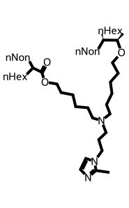 CCCCCCCCCC(CCCCCC)C(=O)OCCCCCCN(CCCCCCO[C@H](C)[C@@H](CCCCCC)CCCCCCCCC)CCCn1ccnc1C